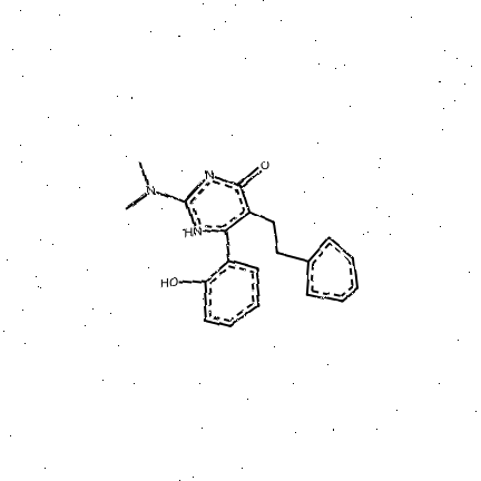 CN(C)c1nc(=O)c(CCc2ccccc2)c(-c2ccccc2O)[nH]1